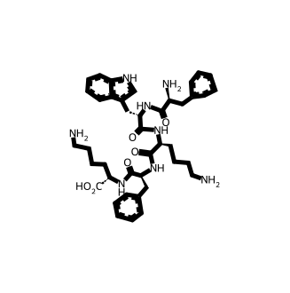 NCCCC[C@H](NC(=O)[C@H](Cc1ccccc1)NC(=O)[C@H](CCCCN)NC(=O)[C@H](Cc1c[nH]c2ccccc12)NC(=O)[C@@H](N)Cc1ccccc1)C(=O)O